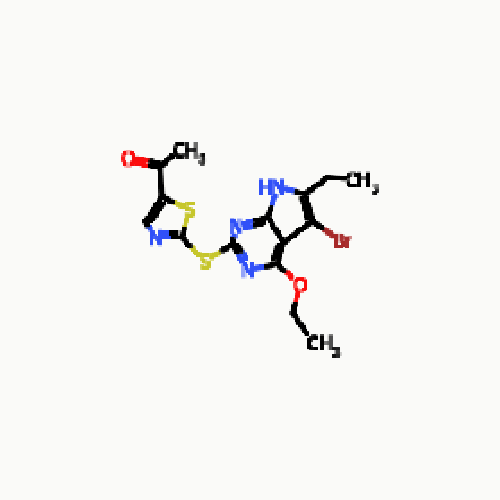 CCOc1nc(Sc2ncc(C(C)=O)s2)nc2[nH]c(CC)c(Br)c12